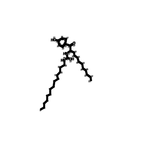 CCCCCCCCCCCCCCNC(O)NC(CCCCCCCCCC)C(=O)c1ccc(O)cc1